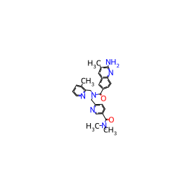 Cc1cc2cc(C(=O)N(Cc3ccc(C(=O)N(C)C)cn3)Cc3ncccc3C)ccc2nc1N